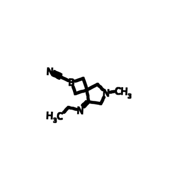 CC/N=C1/CN(C)CC12CB(C#N)C2